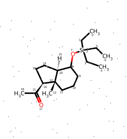 CC[Si](CC)(CC)OC1CCC[C@]2(C)[C@@H](C(C)=O)CC[C@@H]12